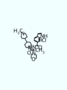 CN1CCC(C2CCN(C(=O)[C@@](C)(NC(=O)c3ccc4cc[nH]c4c3)N3CCOCC3)CC2)CC1.Cl